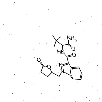 CC(C)(C)C(NC(=O)c1nn(CC2CCC(=O)O2)c2ccccc12)C(N)=O